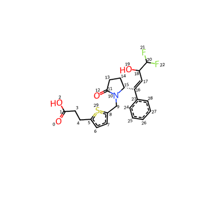 O=C(O)CCc1ccc(CN2C(=O)CC[C@@H]2C(=CC(O)C(F)F)c2ccccc2)s1